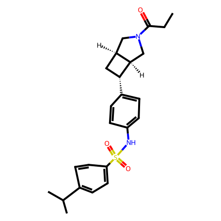 CCC(=O)N1C[C@@H]2C[C@@H](c3ccc(NS(=O)(=O)c4ccc(C(C)C)cc4)cc3)[C@@H]2C1